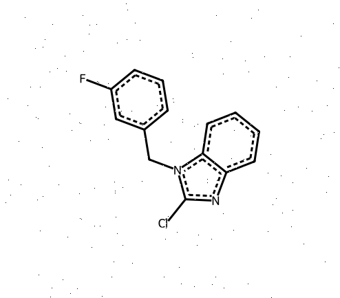 Fc1cccc(Cn2c(Cl)nc3ccccc32)c1